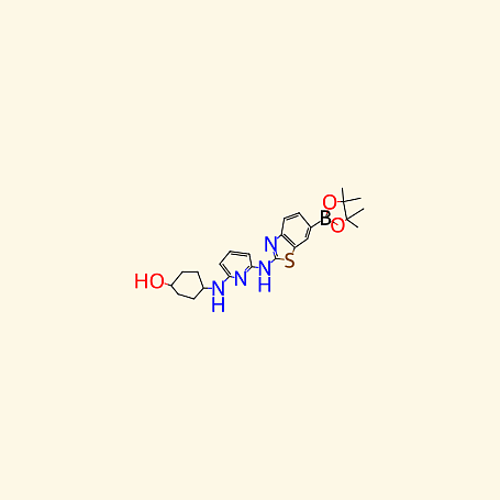 CC1(C)OB(c2ccc3nc(Nc4cccc(NC5CCC(O)CC5)n4)sc3c2)OC1(C)C